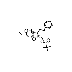 CCC(O)C[C@H]1O[C@@H](COC(=O)C(C)(C)C)C(CCc2ccccc2)[C@H]1C